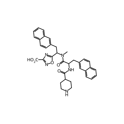 CN(C(=O)C(Cc1ccc2ccccc2c1)NC(=O)C1CCNCC1)C(Cc1ccc2ccccc2c1)c1nc(C(=O)O)no1